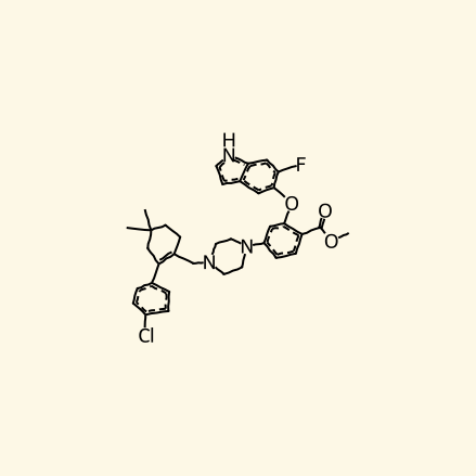 COC(=O)c1ccc(N2CCN(CC3=C(c4ccc(Cl)cc4)CC(C)(C)CC3)CC2)cc1Oc1cc2cc[nH]c2cc1F